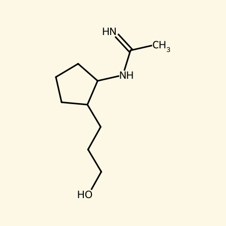 CC(=N)NC1CCCC1CCCO